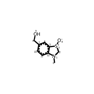 CN1C[S+]([O-])c2cc(CO)ccc21